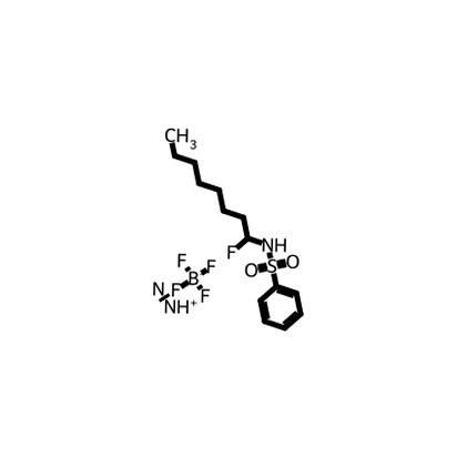 CCCCCCCC(F)NS(=O)(=O)c1ccccc1.F[B-](F)(F)F.N#[NH+]